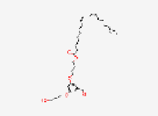 CCCCC/C=C\C/C=C\CCCCCCCC(=O)OCCCCOc1cc(C=O)cc(OCCCCO)c1